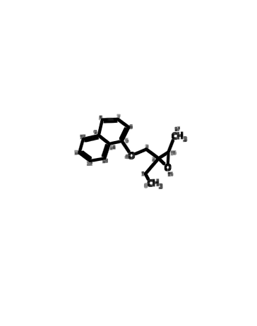 CCC1(COc2cccc3ccccc23)OC1C